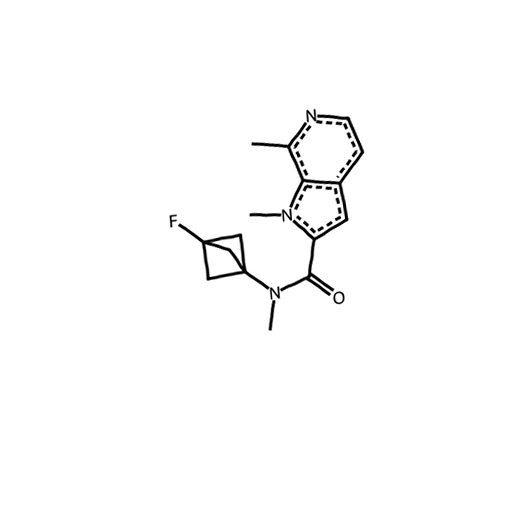 Cc1nccc2cc(C(=O)N(C)C34CC(F)(C3)C4)n(C)c12